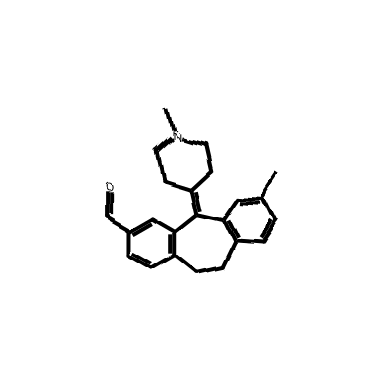 Cc1ccc2c(c1)C(=C1CCN(C)CC1)c1cc(C=O)ccc1CC2